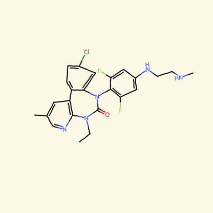 CCN1C(=O)N(c2c(F)cc(NCCNC)cc2F)c2cc(Cl)ccc2-c2cc(C)cnc21